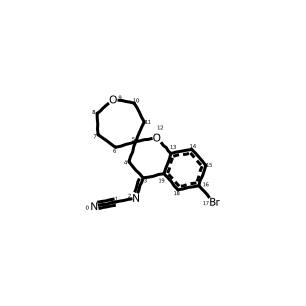 N#C/N=C1\CC2(CCCOCC2)Oc2ccc(Br)cc21